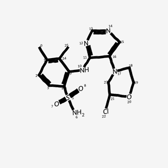 Cc1ccc(S(N)(=O)=O)c(Nc2ncncc2N2CCOC(Cl)C2)c1C